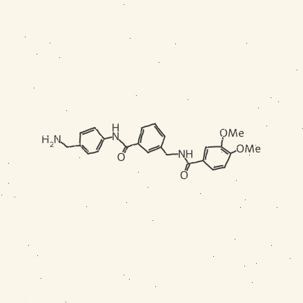 COc1ccc(C(=O)NCc2cccc(C(=O)Nc3ccc(CN)cc3)c2)cc1OC